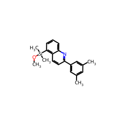 CO[Si](C)(C)c1cccc2nc(-c3cc(C)cc(C)c3)ccc12